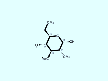 COC[C@H]1O[C@H](O)[C@H](OC)[C@@H](OC)[C@@H]1C